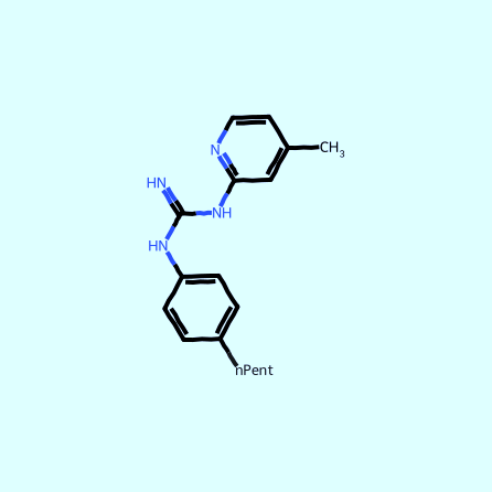 CCCCCc1ccc(NC(=N)Nc2cc(C)ccn2)cc1